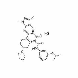 Cc1nn(C)c2nc(N3CCC(N4CCCC4)CC3)c(C(=O)NC(=O)Nc3cccc(OC(C)C)c3)cc12.Cl